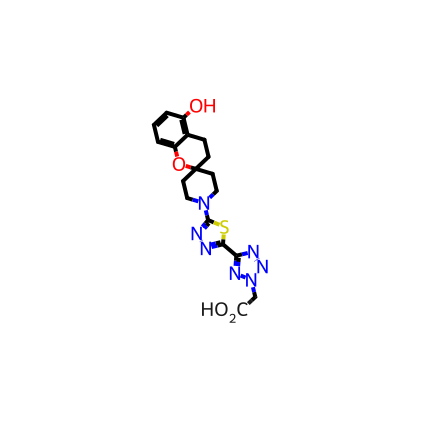 O=C(O)Cn1nnc(-c2nnc(N3CCC4(CCc5c(O)cccc5O4)CC3)s2)n1